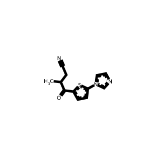 CC(CC#N)C(=O)c1ccc(-n2ccnc2)s1